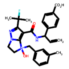 C=CC(NC(=O)c1c(C(C)(C)F)nn2c1[N+](O)(Cc1cccc(C)c1)CC2)c1ccc(C(=O)O)cc1